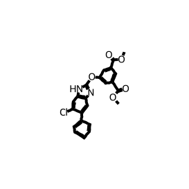 COC(=O)c1cc(Oc2nc3cc(-c4ccccc4)c(Cl)cc3[nH]2)cc(C(=O)OC)c1